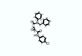 O=C(Nc1ccc(Cl)cc1)[C@H]1O[C@@H]1C(=O)N(Cc1ccccc1)c1ccccc1